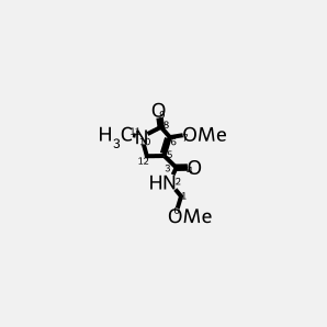 COCNC(=O)C1=C(OC)C(=O)N(C)C1